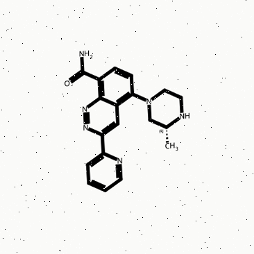 C[C@@H]1CN(c2ccc(C(N)=O)c3nnc(-c4ccccn4)cc23)CCN1